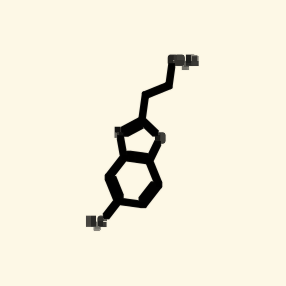 CCOC(=O)CCc1nc2cc(C)ccc2o1